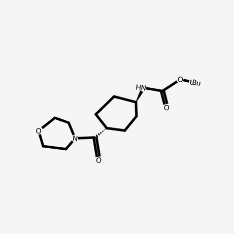 CC(C)(C)OC(=O)N[C@H]1CC[C@H](C(=O)N2CCOCC2)CC1